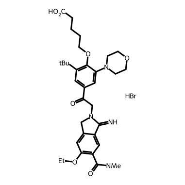 Br.CCOc1cc2c(cc1C(=O)NC)C(=N)N(CC(=O)c1cc(N3CCOCC3)c(OCCCCC(=O)O)c(C(C)(C)C)c1)C2